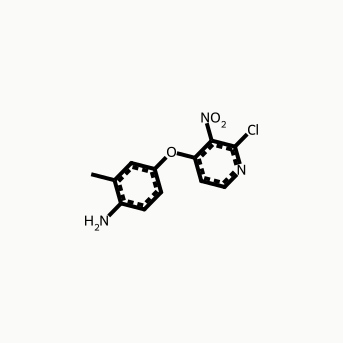 Cc1cc(Oc2ccnc(Cl)c2[N+](=O)[O-])ccc1N